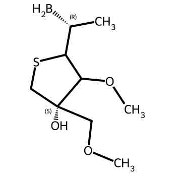 B[C@H](C)C1SC[C@](O)(COC)C1OC